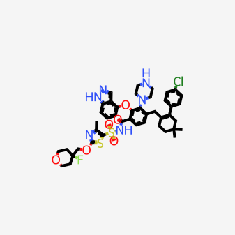 Cc1nc(OCC2(F)CCOCC2)sc1S(=O)(=O)NC(=O)c1ccc(CC2=C(c3ccc(Cl)cc3)CC(C)(C)CC2)c(N2CCNCC2)c1Oc1cccc2[nH]ncc12